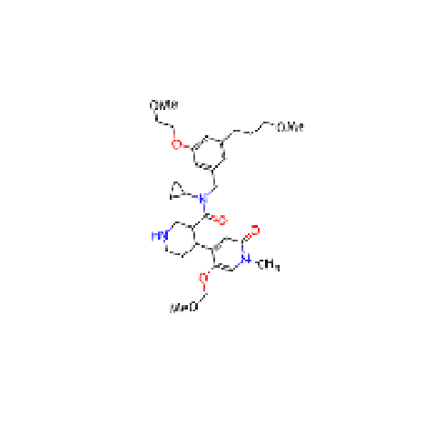 COCCCc1cc(CN(C(=O)C2CNCCC2c2cc(=O)n(C)cc2OCOC)C2CC2)cc(OCCOC)c1